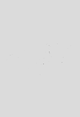 CC(CCC(=O)N(C)C)[C@H]1CC[C@H]2[C@@H]3CC=C4C[C@@H](O)C[C@H](O)[C@]4(C)[C@H]3CC[C@]12C